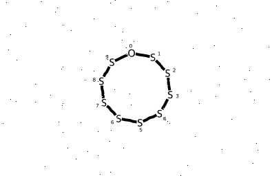 O1SSSSSSSSS1